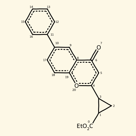 CCOC(=O)C1CC1c1cc(=O)c2cc(-c3ccccc3)ccc2o1